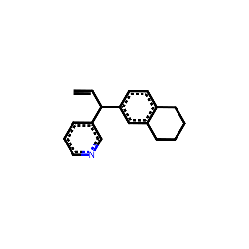 C=CC(c1cccnc1)c1ccc2c(c1)CCCC2